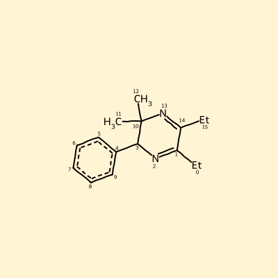 CCC1=NC(c2ccccc2)C(C)(C)N=C1CC